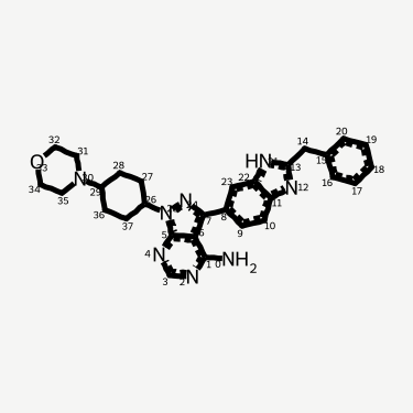 Nc1ncnc2c1c(-c1ccc3nc(Cc4ccccc4)[nH]c3c1)nn2C1CCC(N2CCOCC2)CC1